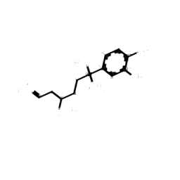 C=CCC(CCC(C)(C)c1ccc(O)c(C)c1)C(=O)O